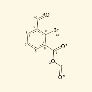 O=[C]OC(=O)c1cccc([C]=O)c1Br